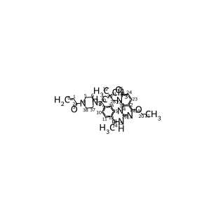 C=CC(=O)N1CCN(Cc2ccc([C@H](C)Nc3nc(OCC)c4ccc(=O)n(CC(C)(C)C)c4n3)cc2)CC1